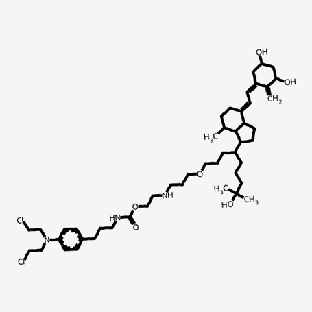 C=C1C(=CC=C2CCC(C)C3C2CCC3C(CCCOCCCNCCOC(=O)NCCCc2ccc(N(CCCl)CCCl)cc2)CCCC(C)(C)O)CC(O)CC1O